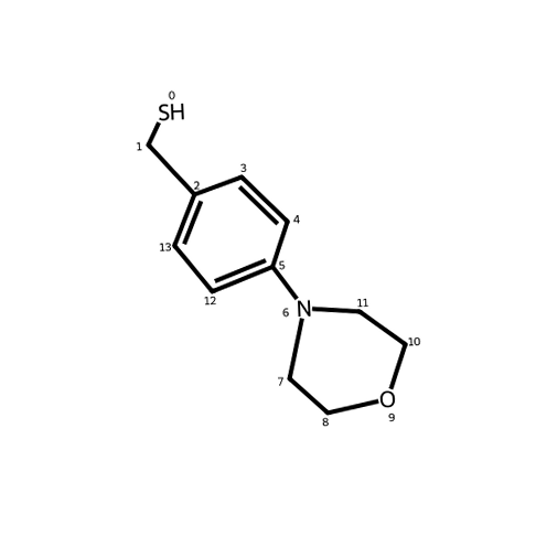 SCc1ccc(N2CCOCC2)cc1